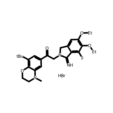 Br.CCOc1cc2c(c(F)c1OCC)C(=N)N(CC(=O)c1cc3c(c(C(C)(C)C)c1)OCCN3C)C2